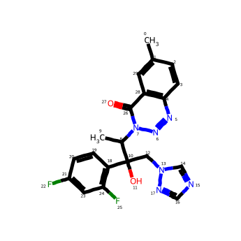 Cc1ccc2nnn(C(C)C(O)(Cn3cncn3)c3ccc(F)cc3F)c(=O)c2c1